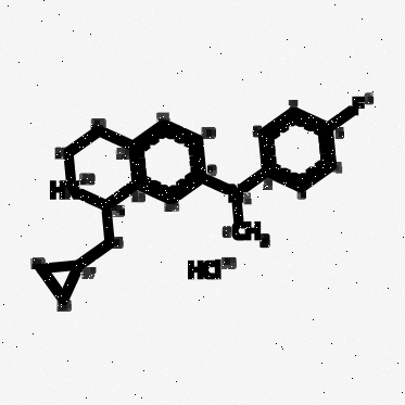 CN(c1ccc(F)cc1)c1ccc2c(c1)C(CC1CC1)NCC2.Cl